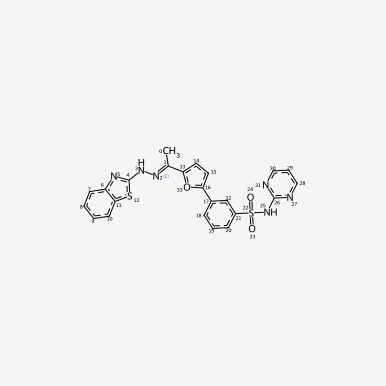 C/C(=N\Nc1nc2ccccc2s1)c1ccc(-c2cccc(S(=O)(=O)Nc3ncccn3)c2)o1